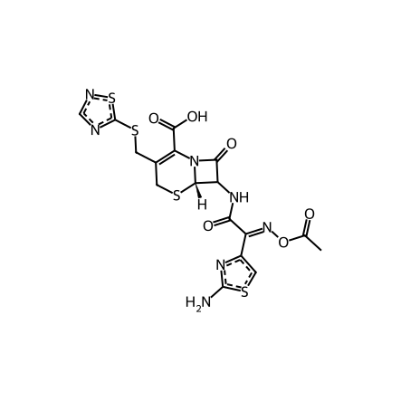 CC(=O)ON=C(C(=O)NC1C(=O)N2C(C(=O)O)=C(CSc3ncns3)CS[C@@H]12)c1csc(N)n1